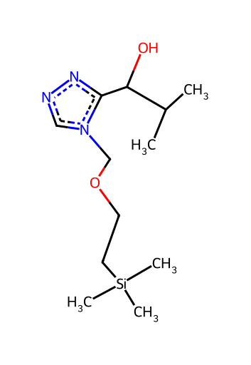 CC(C)C(O)c1nncn1COCC[Si](C)(C)C